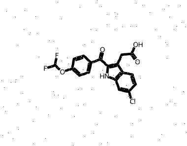 O=C(O)Cc1c(C(=O)c2ccc(OC(F)F)cc2)[nH]c2cc(Cl)ccc12